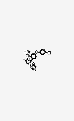 Br.C[C@H]1CO[C@](Cn2cncn2)(c2ccc(Oc3ccc(Cl)cc3)cc2Cl)O1